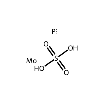 O=S(=O)(O)O.[Mo].[P]